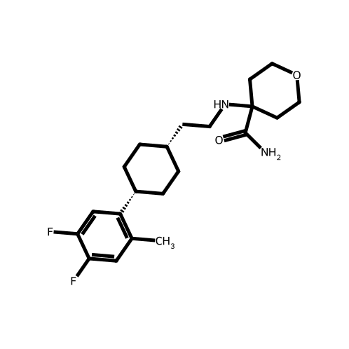 Cc1cc(F)c(F)cc1[C@H]1CC[C@@H](CCNC2(C(N)=O)CCOCC2)CC1